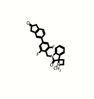 CN1CCC12C(=O)N(Cc1c(F)cc(-c3ccc4c(c3)CC(=O)C4)cc1F)c1ccccc12